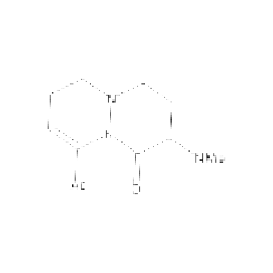 CNC1CCN2CCC=C(C(C)=O)N2C1=O